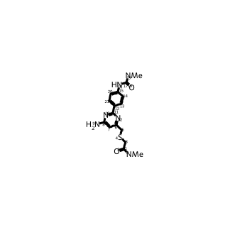 CNC(=O)CSCc1cc(N)nc(-c2ccc(NC(=O)NC)cc2)n1